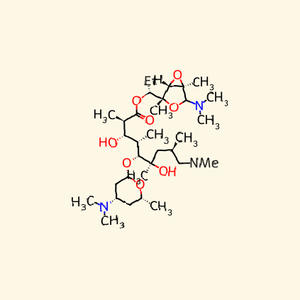 CC[C@@H](OC(=O)[C@H](C)[C@@H](O)[C@H](C)[C@@H](O[C@H]1C[C@@H](N(C)C)C[C@@H](C)O1)[C@](C)(O)C[C@@H](C)CNC)[C@@]1(C)OC(N(C)C)[C@]2(C)O[C@@H]12